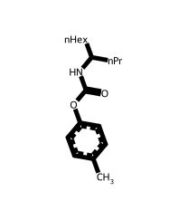 CCCCCCC(CCC)NC(=O)Oc1ccc(C)cc1